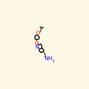 NCCc1ccc2nc(Oc3ccc(OCC4CC4)cc3)ccc2c1